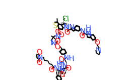 Cc1csc2c(OC(=O)N(C)CC(C)(C)CN(C)C(=O)OCc3ccc(NC(=O)CNC(=O)[C@H](CC(C)C)NC(=O)[C@H](Cc4ccccc4)NC(=O)CCCCCN4C(=O)C=CC4=O)cc3)cc3c(c12)[C@H](CCl)CN3C(=O)c1cc2cc(NC(=O)c3cc4cc(OCCN5CCCC5)ccc4[nH]3)ccc2[nH]1